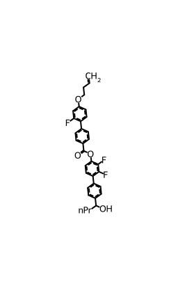 C=CCCOc1ccc(-c2ccc(C(=O)Oc3ccc(-c4ccc(C(O)CCC)cc4)c(F)c3F)cc2)c(F)c1